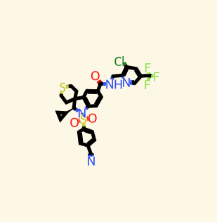 N#Cc1ccc(S(=O)(=O)N2c3ccc(C(=O)NCc4ncc(C(F)(F)F)cc4Cl)cc3C3(CCSCC3)[C@@H]2C2CC2)cc1